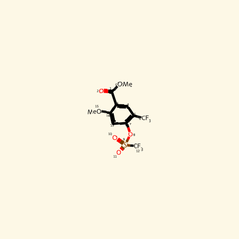 COC(=O)c1cc(C(F)(F)F)c(OS(=O)(=O)C(F)(F)F)cc1OC